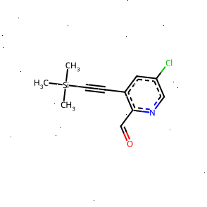 C[Si](C)(C)C#Cc1cc(Cl)cnc1C=O